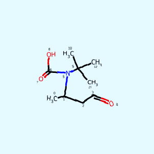 CC(CC=O)N(C(=O)O)C(C)(C)C